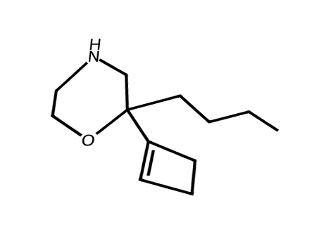 CCCCC1(C2=CCC2)CNCCO1